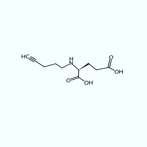 C#CCCCN[C@@H](CCC(=O)O)C(=O)O